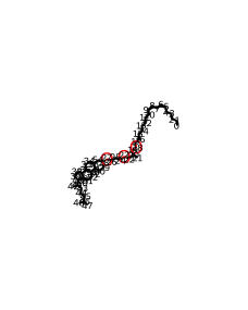 CCCCC/C=C\C/C=C\CCCCCCCCOCC(C)COCCCO[C@H]1CC[C@@]2(C)C(=CCC3C4CCC(C(C)CCCC(C)C)[C@@]4(C)CCC32)C1